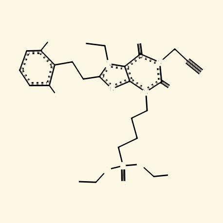 C#CCn1c(=O)c2c(nc(CCc3c(Cl)cccc3Cl)n2CC)n(CCCCP(=O)(OCC)OCC)c1=O